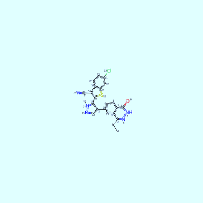 CCc1n[nH]c(=O)c2ccc(-c3cnn(C)c3-c3sc4cc(Cl)ccc4c3C#N)cc12